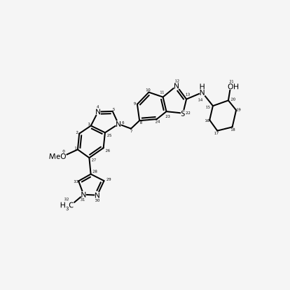 COc1cc2ncn(Cc3ccc4nc(NC5CCCCC5O)sc4c3)c2cc1-c1cnn(C)c1